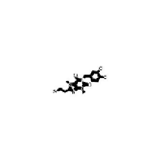 Cn1c(CCBr)nc2c1c(=O)n(Cc1ccc(Cl)c(Cl)c1)c(=O)n2C